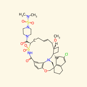 CO[C@H]1/C=C/CC[C@H](C(=O)N2CCN(S(=O)(=O)N(C)C)CC2)S(=O)(=O)NC(=O)c2ccc3c(c2)N(C[C@@H]2CC[C@H]21)C[C@@]1(CCCc2cc(Cl)ccc21)CO3